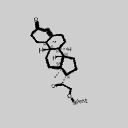 CCCCCOCC(=O)[C@H]1CC[C@H]2[C@@H]3CCC4=CC(=O)CC[C@]4(C)[C@H]3CC[C@]12C